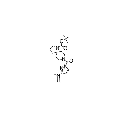 CNc1ccn(C(=O)N2CCC3(CCCN3C(=O)OC(C)(C)C)CC2)n1